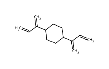 C=CC(=C)C1CCC(C(=C)C=C)CC1